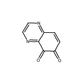 O=C1C=Cc2nccnc2C1=O